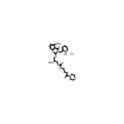 CC[n+]1ccccc1CN(C(=O)OCC(COC(=O)NCCCC(=O)N1CCOCC1)OC)C(=O)c1ccccc1OC.[Cl-]